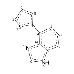 c1csc(-c2cccc3[nH]cnc23)c1